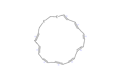 [C]1=C/C=C/C=C\C=C\C=C\C=C\C=C/C=C/C=C/CCCC/1